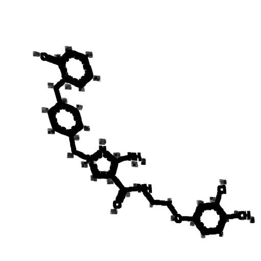 Cc1ccc(OCCNC(=O)c2cn(Cc3ccc(Cn4ccccc4=O)cc3)nc2N)cc1Cl